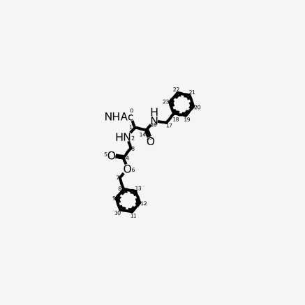 CC(=O)NC(NCC(=O)OCc1ccccc1)C(=O)NCc1ccccc1